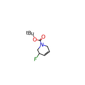 CC(C)(C)OC(=O)N1CC=CC(F)C1